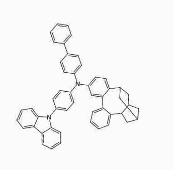 c1ccc(-c2ccc(N(c3ccc(-n4c5ccccc5c5ccccc54)cc3)c3ccc4c(c3)-c3ccccc3C3CC5CC4CC3C5)cc2)cc1